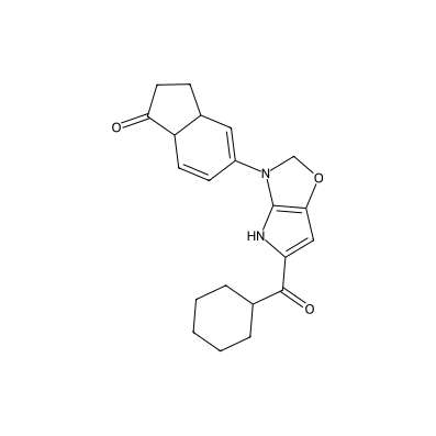 O=C(c1cc2c([nH]1)N(C1=CC3CCC(=O)C3C=C1)CO2)C1CCCCC1